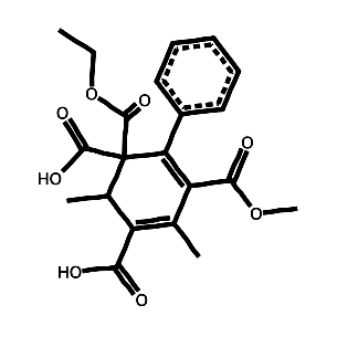 CCOC(=O)C1(C(=O)O)C(c2ccccc2)=C(C(=O)OC)C(C)=C(C(=O)O)C1C